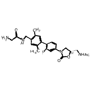 CC(=O)NC[C@H]1CN(c2ccc(-c3cc(C)c(CNC(=O)CN)cc3C)c(F)c2)C(=O)O1